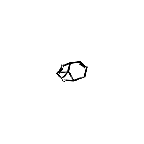 CC1(C)C2C=CCC1OC=N2